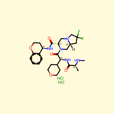 CN[C@@H](C)C(=O)N[C@H](C(=O)N1C[C@H]2CC(F)(F)CN2C[C@H]1C(=O)N[C@@H]1CCOc2ccccc21)C1CCOCC1.Cl.Cl